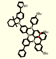 CC(C)(C)c1ccc(N2c3cc(N4c5ccc(-c6ccc[nH]6)cc5C5(C)CCCCC45C)ccc3B3c4ccc(-c5ccccc5)cc4N(c4ccc(C(C)(C)C)cc4-c4ccccc4)c4cc(C(C)(C)C)cc2c43)cc1